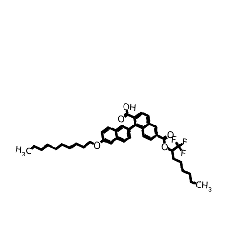 CCCCCCCCCCOc1ccc2cc(-c3c(C(=O)O)ccc4cc(C(=O)OC(CCCCCC)C(F)(F)F)ccc34)ccc2c1